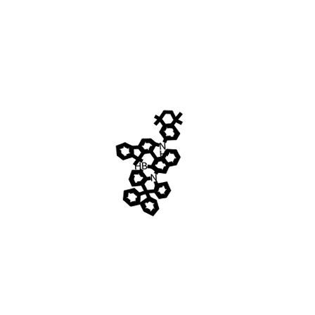 CC1(C)CCC(C)(C)c2cc(Nc3ccc4c(c3-c3c5c(cc6ccccc36)N3c6ccccc6C(c6ccccc6)(c6ccccc6)c6cccc(c63)B5)C(C)(C)c3ccccc3-4)ccc21